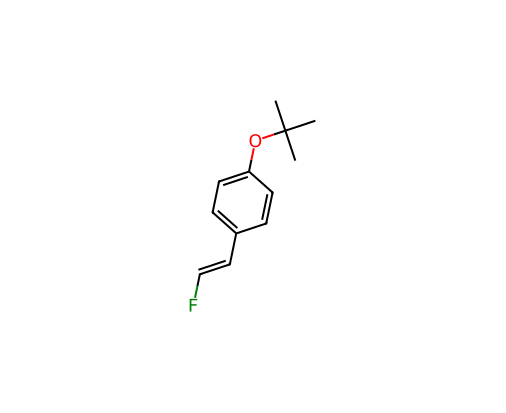 CC(C)(C)Oc1ccc(C=CF)cc1